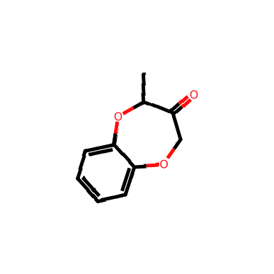 CC1Oc2ccccc2OCC1=O